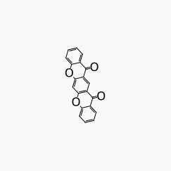 O=c1c2ccccc2oc2cc3oc4ccccc4c(=O)c3cc12